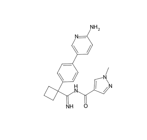 Cn1cc(C(=O)NC(=N)C2(c3ccc(-c4ccc(N)nc4)cc3)CCC2)cn1